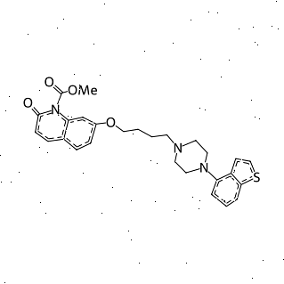 COC(=O)n1c(=O)ccc2ccc(OCCCCN3CCN(c4cccc5sccc45)CC3)cc21